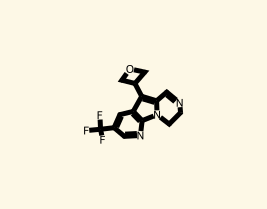 FC(F)(F)c1cnc2c(c1)c(C1COC1)c1n2CCN=C1